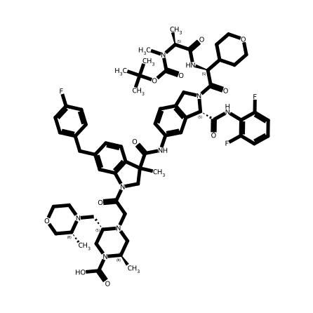 C[C@@H]1COCCN1C[C@H]1CN(C(=O)O)[C@H](C)CN1CC(=O)N1CC(C)(C(=O)Nc2ccc3c(c2)[C@@H](C(=O)Nc2c(F)cccc2F)N(C(=O)[C@@H](NC(=O)[C@H](C)N(C)C(=O)OC(C)(C)C)C2CCOCC2)C3)c2ccc(Cc3ccc(F)cc3)cc21